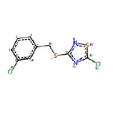 Clc1cccc(CSc2nsc(Cl)n2)c1